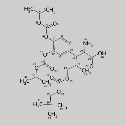 CC(C)OC(=O)Oc1ccc(C(C(C)COC(=O)OCC(C)(C)C)[C@H](N)C(=O)O)cc1OC(=O)OC(C)C